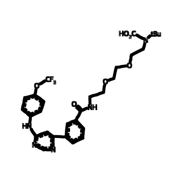 CC(C)(C)N(CCOCCOCCNC(=O)c1cccc(-c2cc(Nc3ccc(OC(F)(F)F)cc3)ncn2)c1)C(=O)O